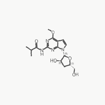 COc1nc(NC(=O)C(C)C)nc2c1ccn2[C@@H]1O[C@H](CO)C[C@H]1O